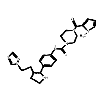 Cn1cccc1C(=O)N1CCN(C(=O)Nc2ccc(C3NCCC3CCn3cncn3)cc2)CC1